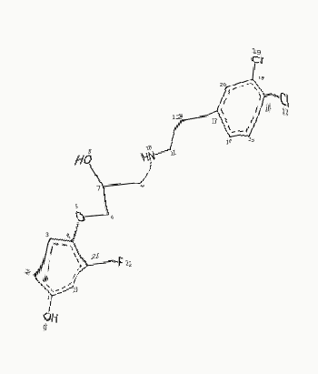 Oc1ccc(OCC(O)CNCCc2ccc(Cl)c(Cl)c2)c(F)c1